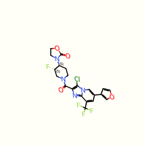 O=C(c1nc2c(C(F)(F)F)cc(-c3ccoc3)cn2c1Cl)N1CC[C@H](N2CCOC2=O)[C@@H](F)C1